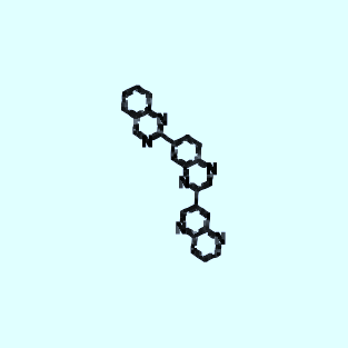 c1ccc2nc(-c3ccc4ncc(-c5cnc6cccnc6c5)nc4c3)ncc2c1